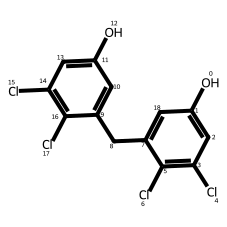 Oc1cc(Cl)c(Cl)c(Cc2cc(O)cc(Cl)c2Cl)c1